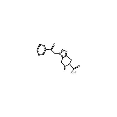 O=C(Cn1cnc2c1CNC(C(=O)O)C2)c1ccccc1